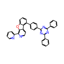 c1ccc(-c2nc(-c3ccccc3)nc(-c3ccc(-c4cccc5oc6c(-c7ccccn7)nccc6c45)cc3)n2)cc1